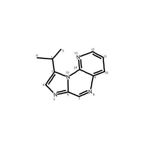 CC(C)c1[c]nc2cnc3cccnc3n12